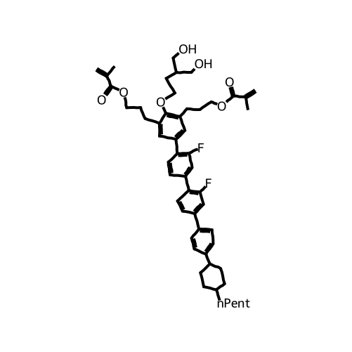 C=C(C)C(=O)OCCCc1cc(-c2ccc(-c3ccc(-c4ccc(C5CCC(CCCCC)CC5)cc4)cc3F)cc2F)cc(CCCOC(=O)C(=C)C)c1OCCC(CO)CO